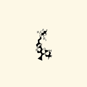 CC(C)(OCCc1cn2ncc(C(C3CC3)N3CC(F)(F)CNC3=O)cc2n1)C(F)(F)F